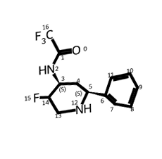 O=C(N[C@H]1C[C@@H](c2ccccc2)NCC1F)C(F)(F)F